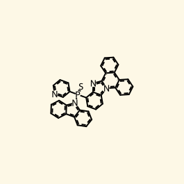 S=P(c1cccnc1)(c1cccc2c1nc1c3ccccc3c3ccccc3n21)n1c2ccccc2c2ccccc21